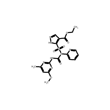 CCOC(=O)c1cn[nH]c1S(=O)(=O)N(C(=O)Nc1nc(C)cc(OC)n1)c1ccccn1